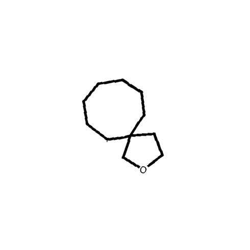 [CH]1CCCCCCC12CCOC2